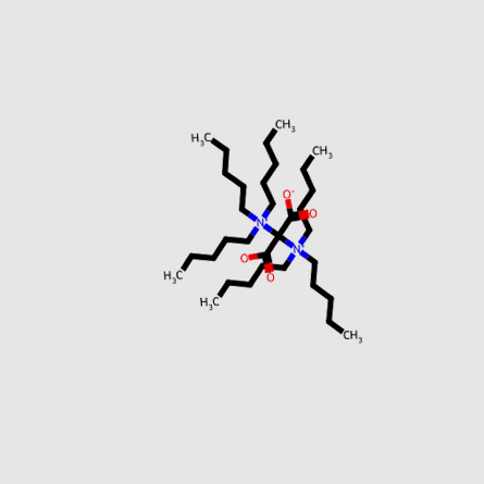 CCCCC[N+](CCCCC)(CCCCC)C(C(=O)[O-])(C(=O)[O-])[N+](CCCCC)(CCCCC)CCCCC